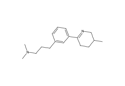 CC1CCC(c2cccc(CCCN(C)C)c2)=NC1